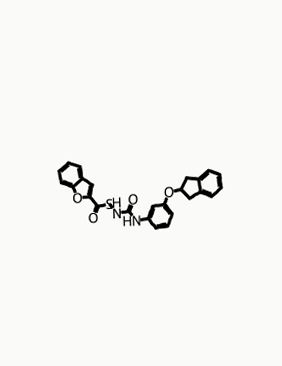 O=C(NSC(=O)c1cc2ccccc2o1)Nc1cccc(OC2Cc3ccccc3C2)c1